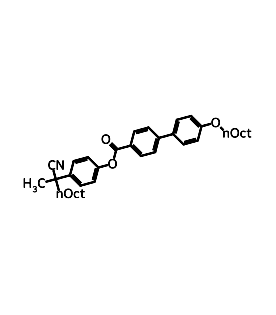 CCCCCCCCOc1ccc(-c2ccc(C(=O)Oc3ccc(C(C)(C#N)CCCCCCCC)cc3)cc2)cc1